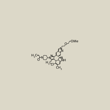 C=CC(=O)N1CCC(n2nc(-c3ccc4nn(CCOCCOC)cc4c3)c(C3C(Cl)=C(C)C=C4NN=CC43)c2C)CC1